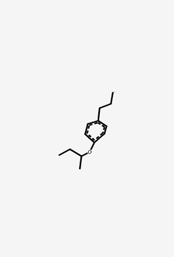 [CH2]CCc1ccc(OC(C)CC)cc1